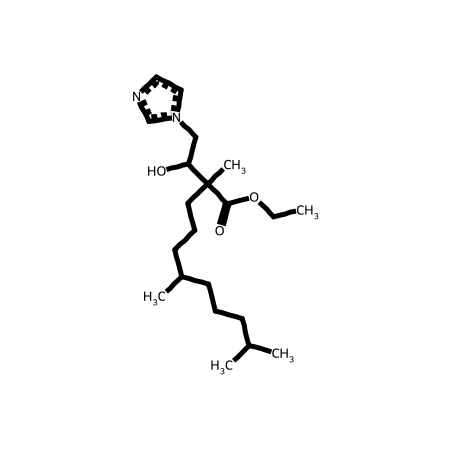 CCOC(=O)C(C)(CCCC(C)CCCC(C)C)C(O)Cn1ccnc1